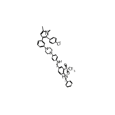 Cc1cc(-c2cccc(N3CCN(c4ccc(NSc5ccc(NSc6ccccc6)c(S(=O)(=O)C(F)(F)F)c5)cc4)CC3)c2)c(-c2ccc(Cl)cc2)n1C